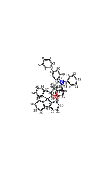 c1ccc(-c2ccc(N(c3ccccc3)c3ccc(-c4cccc5c4C4(c6ccccc6-5)c5ccccc5-c5c4oc4ccccc54)cc3)cc2)cc1